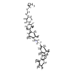 CCCCCC1CCC(c2cnc(-c3cc(F)c(/C=C/CCc4cc(F)c(C(F)(F)Oc5cc(F)c(F)c(F)c5)c(F)c4)c(F)c3)nc2)CC1